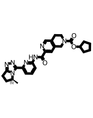 C[C@H]1CCc2nnc(-c3cccc(NC(=O)c4cc5c(cn4)CCN(C(=O)OC4CCCC4)C5)n3)n21